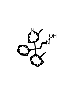 Cc1cc([C@@](C/C=N/O)(c2ccccc2)c2ccccc2C)ccn1